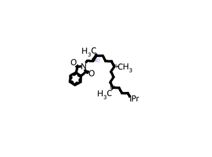 C/C(=C\CN1C(=O)c2ccccc2C1=O)CCC[C@H](C)CCC[C@H](C)CCCC(C)C